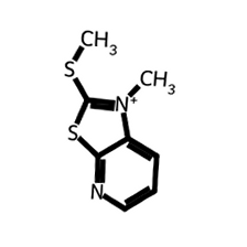 CSc1sc2ncccc2[n+]1C